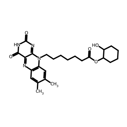 Cc1cc2nc3c(=O)[nH]c(=O)nc-3n(CCCCCCC(=O)OC3CCCCC3O)c2cc1C